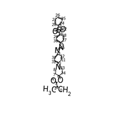 C=C(C)C(=O)OC1CCN(c2ccc(/N=N/c3ccc(S(=O)(=O)c4ccccc4)cc3)cc2)CC1